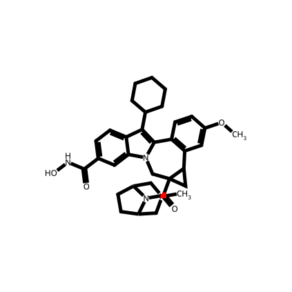 COc1ccc2c(c1)C1CC1(C(=O)N1C3CCC1CN(C)C3)Cn1c-2c(C2CCCCC2)c2ccc(C(=O)NO)cc21